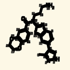 Cc1n[nH]cc1-c1ccc2nc(N(CCCN)C(=O)c3ccc4c(c3)OCCO4)sc2c1